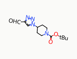 CC(C)(C)OC(=O)N1CCC(n2cc(C=O)nn2)CC1